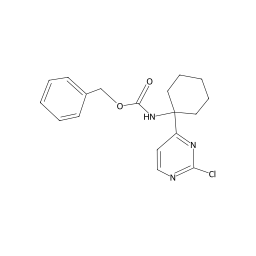 O=C(NC1(c2ccnc(Cl)n2)CCCCC1)OCc1ccccc1